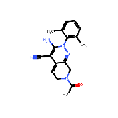 CC(=O)N1CC=C2C(=NN(c3c(C)cccc3C)C(N)=C2C#N)C1